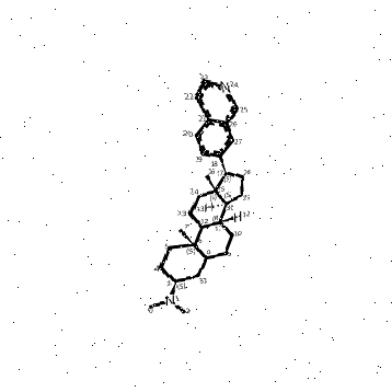 CN(C)[C@H]1CC[C@@]2(C)C(CC[C@@H]3C2CC[C@]2(C)[C@@H](c4ccc5ccncc5c4)CC[C@@H]32)C1